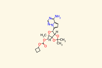 CC1(C)O[C@H]2[C@H](c3ccc4c(N)ncnn34)O[C@](C)(COC(=O)OC3CCC3)[C@H]2O1